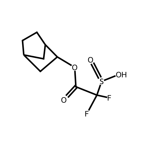 O=C(OC1CC2CCC1C2)C(F)(F)S(=O)O